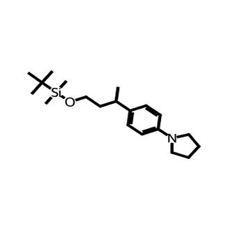 CC(CCO[Si](C)(C)C(C)(C)C)c1ccc(N2CCCC2)cc1